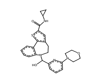 O=C(NC1CC1)c1cc2c(s1)-c1ccccc1N(C(O)c1cccc(N3CCOCC3)n1)CC2